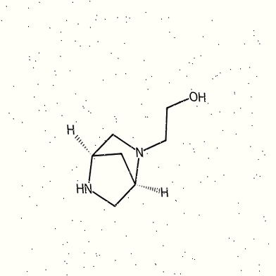 OCCN1C[C@H]2C[C@@H]1CN2